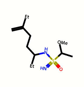 C=C(CC)CCC(CC)NS(=N)(=O)C(C)OC